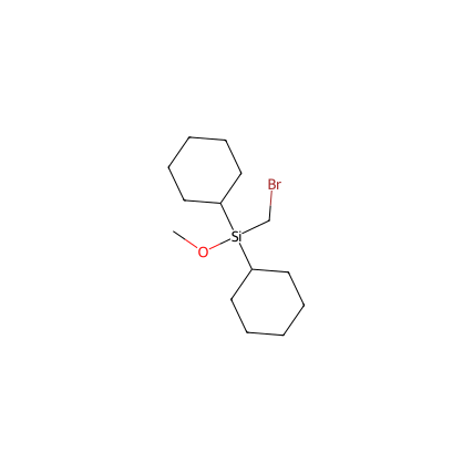 CO[Si](CBr)(C1CCCCC1)C1CCCCC1